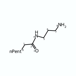 CCCCCCC(=O)NCCCN